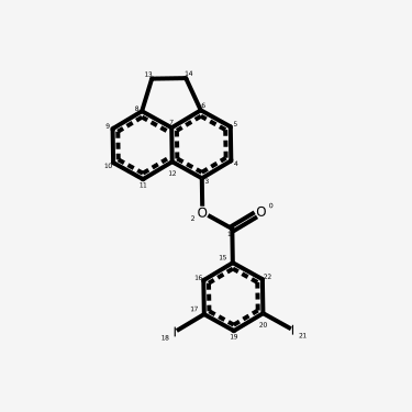 O=C(Oc1ccc2c3c(cccc13)CC2)c1cc(I)cc(I)c1